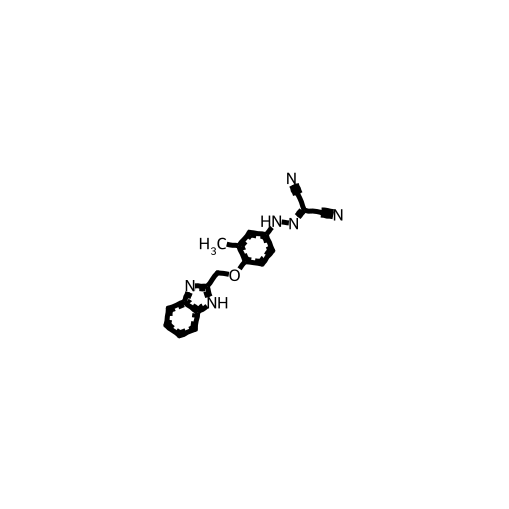 Cc1cc(NN=C(C#N)C#N)ccc1OCc1nc2ccccc2[nH]1